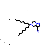 CCCCCCCC(CCCCCCC)N1CCn2ncc(C#N)c2C1